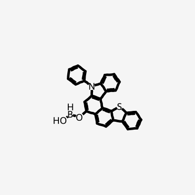 OBOc1cc2c(c3ccccc3n2-c2ccccc2)c2c1ccc1c3ccccc3sc12